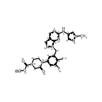 Cn1cc(Nc2ncc3cnn(Cc4cc(N5CCN(C(=O)OC(C)(C)C)CC5=O)cc(F)c4F)c3n2)cn1